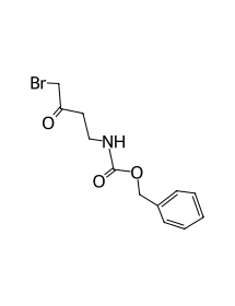 O=C(CBr)CCNC(=O)OCc1ccccc1